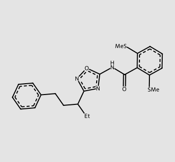 CCC(CCc1ccccc1)c1noc(NC(=O)c2c(SC)cccc2SC)n1